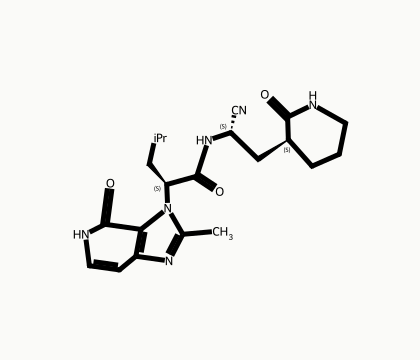 Cc1nc2cc[nH]c(=O)c2n1[C@@H](CC(C)C)C(=O)N[C@H](C#N)C[C@@H]1CCCNC1=O